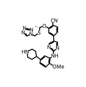 COc1ccc(C2CCNCC2)cc1Nc1ncc(-c2ccc(C#N)c(O[C@@H](C)SCn3cnnn3)c2)cn1